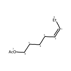 CC/C=C\CCCCOC(C)=O